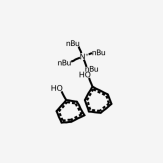 CCCC[N+](CCCC)(CCCC)CCCC.Oc1ccccc1.Oc1ccccc1